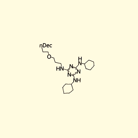 CCCCCCCCCCCCOCCCNc1nc(NC2CCCCC2)nc(NC2CCCCC2)n1